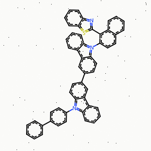 c1ccc(-c2ccc(-n3c4ccccc4c4cc(-c5ccc6c(c5)c5ccccc5n6-c5ccc6ccccc6c5-c5nc6ccccc6s5)ccc43)cc2)cc1